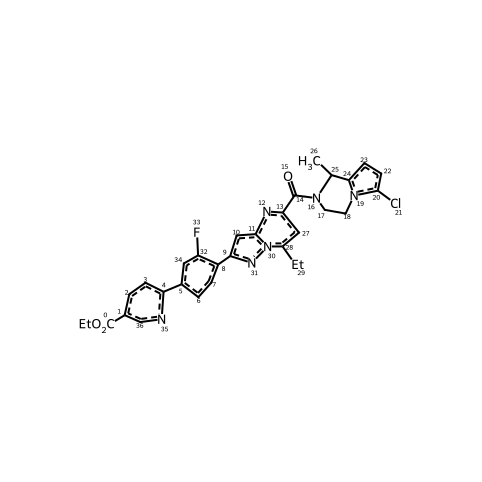 CCOC(=O)c1ccc(-c2ccc(-c3cc4nc(C(=O)N5CCn6c(Cl)ccc6C5C)cc(CC)n4n3)c(F)c2)nc1